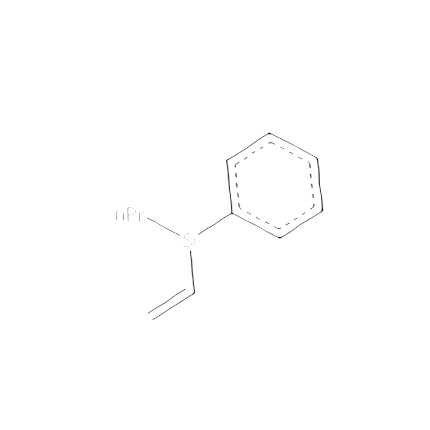 C=C[Si](CCC)c1ccccc1